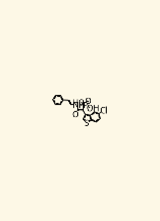 O=C(NC=Cc1ccccc1)C(c1csc2ccc(Cl)cc12)P(=O)(O)O